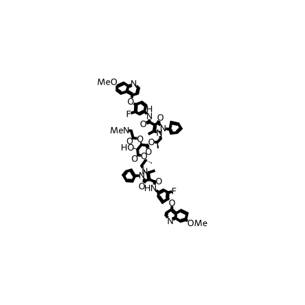 CNCC(=O)O[C@@H](C(=O)O[C@H](C)Cn1c(C)c(C(=O)Nc2ccc(Oc3ccnc4cc(OC)ccc34)c(F)c2)c(=O)n1-c1ccccc1)[C@@H](O)C(=O)O[C@H](C)Cn1c(C)c(C(=O)Nc2ccc(Oc3ccnc4cc(OC)ccc34)c(F)c2)c(=O)n1-c1ccccc1